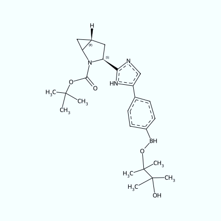 CC(C)(C)OC(=O)N1C2C[C@@H]2C[C@H]1c1ncc(-c2ccc(BOC(C)(C)C(C)(C)O)cc2)[nH]1